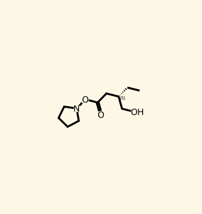 CC[C@H](CO)CC(=O)ON1CCCC1